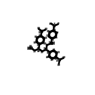 CN(C)c1ccc(NCN(CN(CO)c2ccc(N(C)C)cc2)c2ccc(N(C)C)cc2)cc1